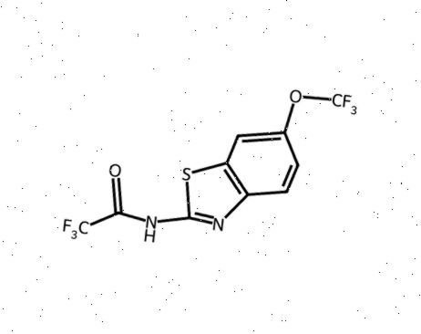 O=C(Nc1nc2ccc(OC(F)(F)F)cc2s1)C(F)(F)F